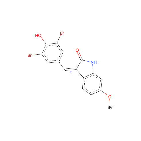 CC(C)Oc1ccc2c(c1)NC(=O)/C2=C\c1cc(Br)c(O)c(Br)c1